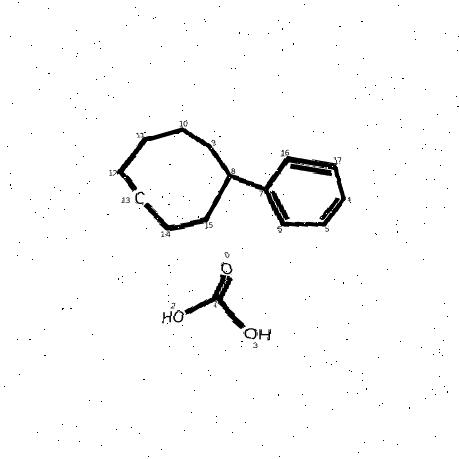 O=C(O)O.c1ccc(C2CCCCCCC2)cc1